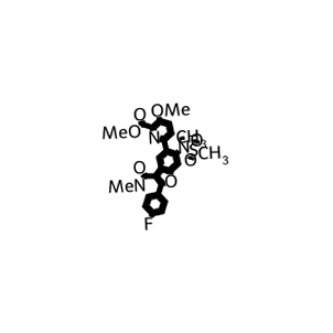 CNC(=O)c1c(-c2ccc(F)cc2)oc2cc(N(C)S(C)(=O)=O)c(-c3ccc(OC)c(C(=O)OC)n3)cc12